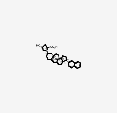 C[C@]12CC=C3C=C4CC[C@H](N5C[C@H](O)C[C@H]5C(=O)O)C[C@]45CC[C@]3(O5)[C@@H]1CC[C@@H]2c1ccc2ccccc2c1